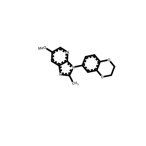 COc1cnc2c(c1)nc(C)n2-c1ccc2c(c1)OCCO2